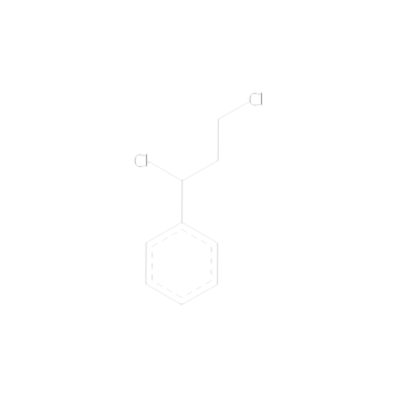 ClCCC(Cl)c1ccccc1